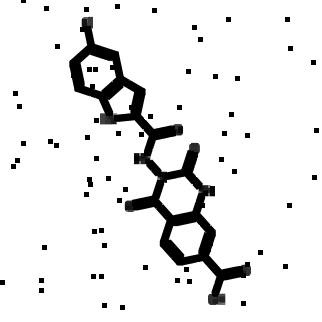 O=C(O)c1ccc2c(=O)n(NC(=O)c3cc4cc(Cl)ccc4[nH]3)c(=O)[nH]c2c1